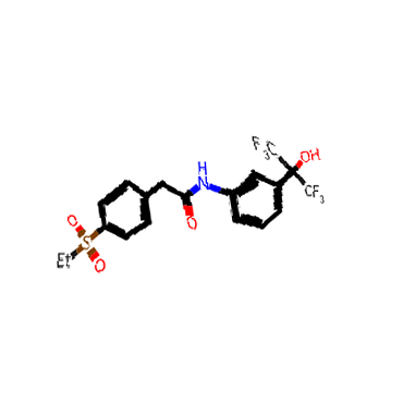 CCS(=O)(=O)c1ccc(CC(=O)Nc2cccc(C(O)(C(F)(F)F)C(F)(F)F)c2)cc1